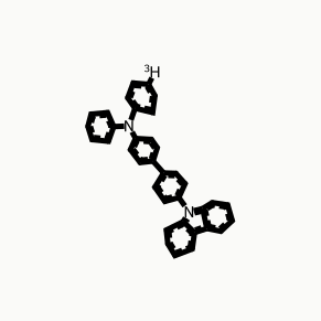 [3H]c1ccc(N(c2ccccc2)c2ccc(-c3ccc(-n4c5ccccc5c5ccccc54)cc3)cc2)cc1